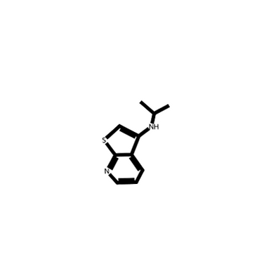 CC(C)Nc1csc2ncccc12